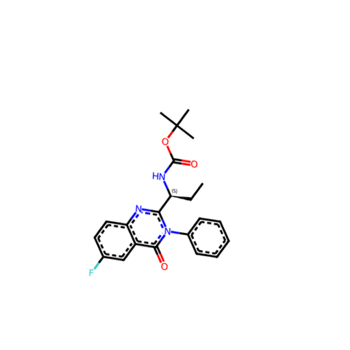 CC[C@H](NC(=O)OC(C)(C)C)c1nc2ccc(F)cc2c(=O)n1-c1ccccc1